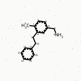 Cc1ccc(CN)cc1CCc1ccccc1